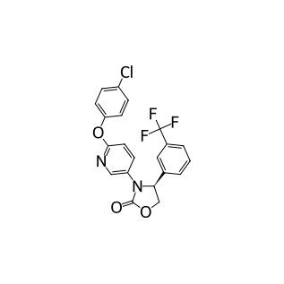 O=C1OC[C@H](c2cccc(C(F)(F)F)c2)N1c1ccc(Oc2ccc(Cl)cc2)nc1